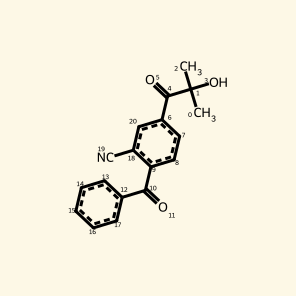 CC(C)(O)C(=O)c1ccc(C(=O)c2ccccc2)c(C#N)c1